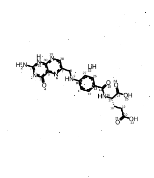 Nc1nc(=O)c2nc(CNc3ccc(C(=O)N[C@@H](CCC(=O)O)C(=O)O)cc3)cnc2[nH]1.[LiH]